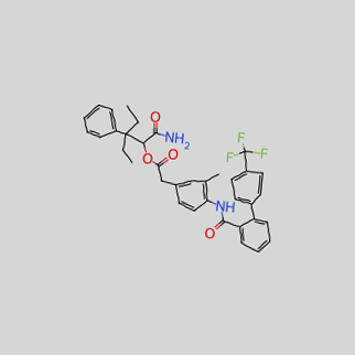 CCC(CC)(c1ccccc1)C(OC(=O)Cc1ccc(NC(=O)c2ccccc2-c2ccc(C(F)(F)F)cc2)c(C)c1)C(N)=O